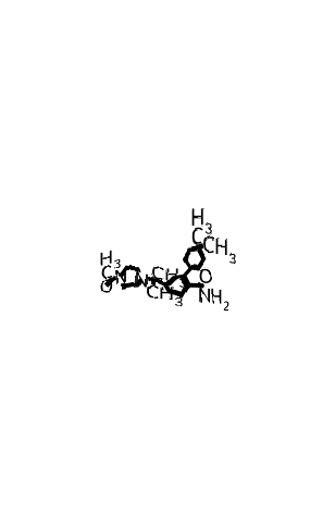 CC(=O)N1CCN(C(C)(C)c2ccc(C(N)=O)c(C3=CCC(C)(C)CC3)c2)CC1